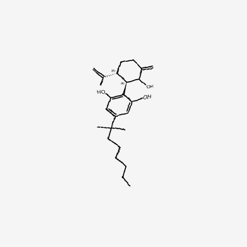 C=C1CC[C@@H](C(=C)C)[C@H](c2c(O)cc(C(C)(C)CCCCCC)cc2O)C1O